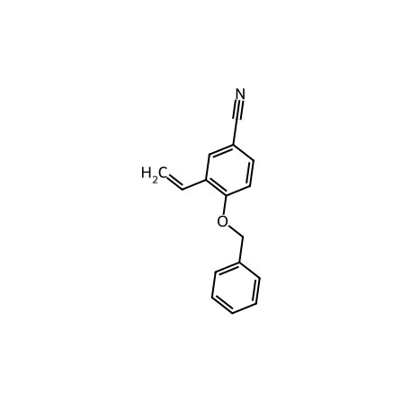 C=Cc1cc(C#N)ccc1OCc1ccccc1